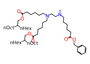 CCCCCCCCC(CCCCCC)COC(=O)CCCCCN(CCCCCC(=O)OCC(CCCCCC)CCCCCCCC)CCN(C)CCCCCC(=O)OCc1ccccc1